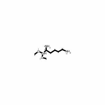 CO[SiH](OC)C(N)CCCCN